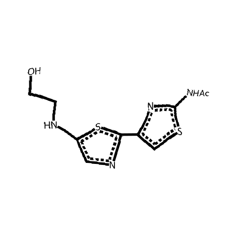 CC(=O)Nc1nc(-c2ncc(NCCO)s2)cs1